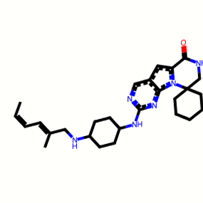 C/C=C\C=C(/C)CNC1CCC(Nc2ncc3cc4n(c3n2)C2(CCCCC2)CNC4=O)CC1